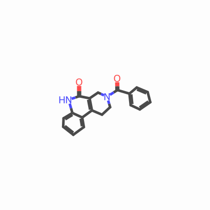 O=C(c1ccccc1)N1CCc2c(c(=O)[nH]c3ccccc23)C1